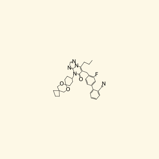 CCCc1c(Cc2ccc(-c3ccccc3C#N)cc2F)c(=O)n(C2CCC3(CC2)OCC2(CCC2)CO3)c2ncnn12